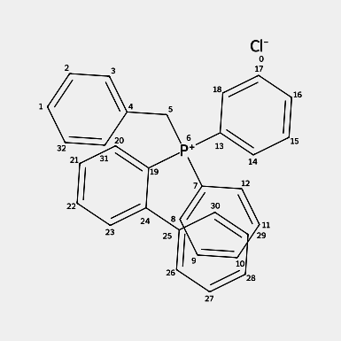 [Cl-].c1ccc(C[P+](c2ccccc2)(c2ccccc2)c2ccccc2-c2ccccc2)cc1